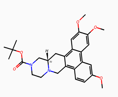 COc1ccc2c3c(c4cc(OC)c(OC)cc4c2c1)C[C@H]1CN(C(=O)OC(C)(C)C)CCN1C3